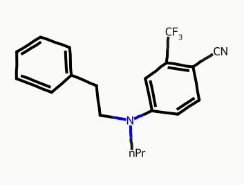 CCCN(CCc1ccccc1)c1ccc(C#N)c(C(F)(F)F)c1